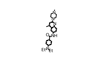 CCN(CC)c1ccc(C(=O)Nc2ccc3nc(N4CCN(C)CC4)cc(C)c3c2)cc1